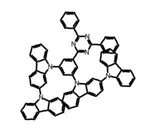 c1ccc(-c2nc(-c3ccccc3)nc(-c3cc(-n4c5ccccc5c5ccc(-n6c7ccccc7c7ccccc76)cc54)cc(-n4c5ccccc5c5ccc(-n6c7ccccc7c7ccccc76)cc54)c3)n2)cc1